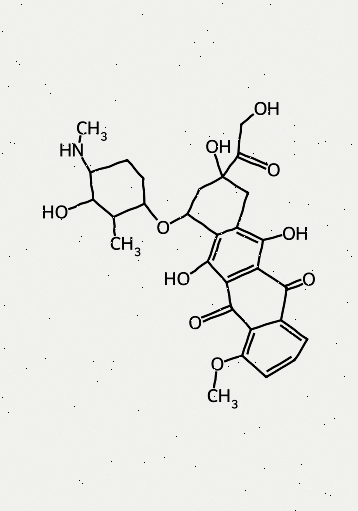 CNC1CCC(OC2CC(O)(C(=O)CO)Cc3c(O)c4c(c(O)c32)C(=O)c2c(OC)cccc2C4=O)C(C)C1O